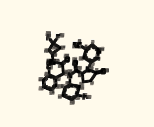 N#Cc1cncc(N2C(=O)CC[C@H]2C(=O)N(c2cccc(F)c2)[C@@H](C(=O)NC2CC(F)(F)C2)c2ccccc2Cl)c1